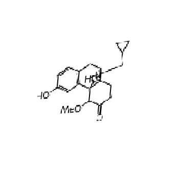 COC1C(=O)CCC2(O)C3Cc4ccc(O)cc4C12CCN3CC1CC1